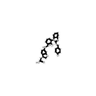 Cc1c(CNc2ccc3c(c2)OC[C@H]3CC(=O)O)cccc1-n1c(SCc2ccc(Cl)cc2)nc2ccccc21